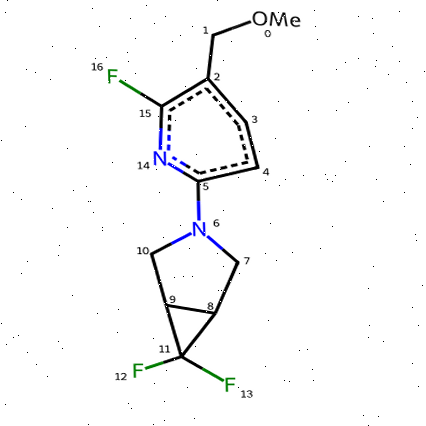 COCc1ccc(N2CC3C(C2)C3(F)F)nc1F